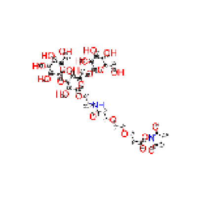 O=C(CCOCCOCCC(=O)ON1C(=O)CCC1=O)NCCO[C@H]1O[C@H](CO[C@H]2O[C@H](CO)[C@@H](O)[C@H](O)[C@@H]2O)[C@@H](O)[C@H](O[C@H]2O[C@H](CO)[C@@H](O)[C@H](O)[C@@H]2O)[C@@H]1O